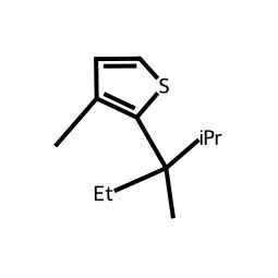 CCC(C)(c1sccc1C)C(C)C